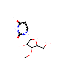 CO[C@@H]1C(CO)O[C@@H](n2ccc(=O)[nH]c2=O)[C@@H]1O